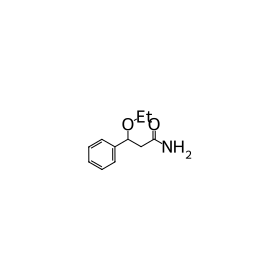 CCOC(CC(N)=O)c1ccccc1